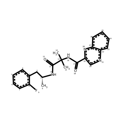 C[C@H](Cc1ccccc1F)NC(=O)C(C)(C)NC(=O)c1cnc2ccccc2n1